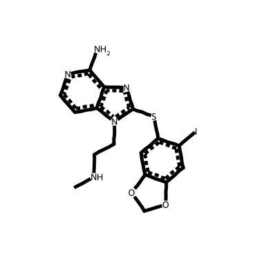 CNCCn1c(Sc2cc3c(cc2I)OCO3)nc2c(N)nccc21